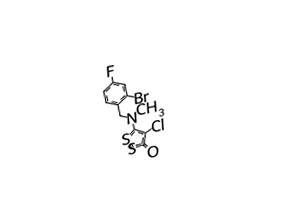 CN(Cc1ccc(F)cc1Br)c1ssc(=O)c1Cl